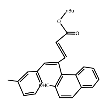 CCCCOC(=O)/C=C/C(=C/c1cccc(C)c1)c1c(C=O)ccc2ccccc12